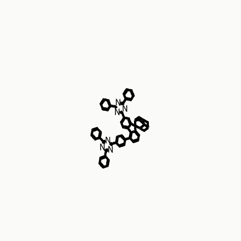 c1ccc(-c2nc(-c3ccccc3)nc(-c3ccc(-c4cccc5c4-c4ccc(-c6nc(-c7ccccc7)nc(-c7ccccc7)n6)cc4C54C5CC6CC(C5)CC4C6)cc3)n2)cc1